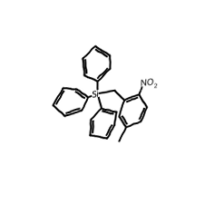 Cc1ccc([N+](=O)[O-])c(C[Si](c2ccccc2)(c2ccccc2)c2ccccc2)c1